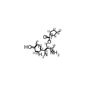 Cc1nc(/C(N)=C(\COC(=O)N2CCC(C)C2)N(C)N)ccc1O